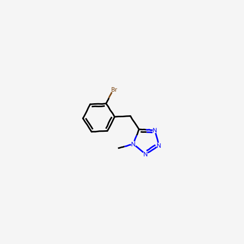 Cn1nnnc1Cc1ccccc1Br